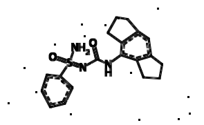 NS(=O)(=NC(=O)Nc1c2c(cc3c1CCC3)CCC2)c1ccccc1